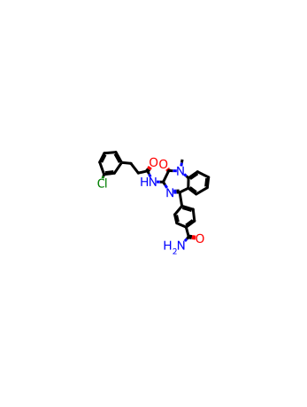 CN1C(=O)C(NC(=O)CCc2cccc(Cl)c2)N=C(c2ccc(C(N)=O)cc2)c2ccccc21